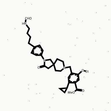 CCOc1cc(C(=O)OC)c(C2CC2)cc1CN1CCC2(CC1)CC(=O)N(c1ccc(CCCCNC=O)cc1)C2